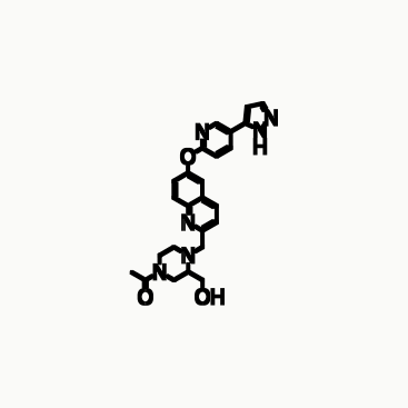 CC(=O)N1CCN(Cc2ccc3cc(Oc4ccc(-c5ccn[nH]5)cn4)ccc3n2)C(CO)C1